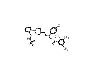 CN(CC(CCN1CCN(c2ccccc2CNS(C)(=O)=O)CC1)c1ccc(Cl)cc1)C(=O)c1cc(C(F)(F)F)cc(C(F)(F)F)c1